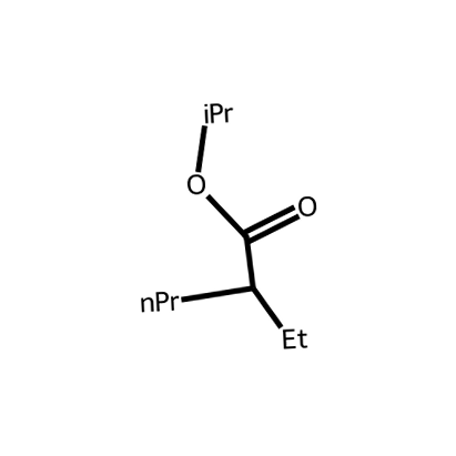 CCCC(CC)C(=O)OC(C)C